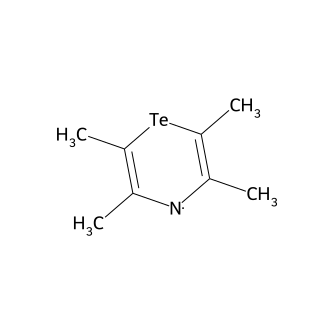 CC1=C(C)[Te]C(C)=C(C)[N]1